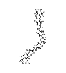 Cc1cc2c(cc1C13CCC(=CCc4ccc(C(=O)OC(=O)c5ccc(CC=C6CCC7(c8ccc9c(c8)C(C)(C)CCC9(C)C)CC67)nc5)cn4)C1C3)C(C)(C)CCC2(C)C